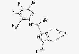 CCC/C(=N\c1cc(Br)c(F)c(F)c1C)c1nn(SF)c2c1CC1CC1C2